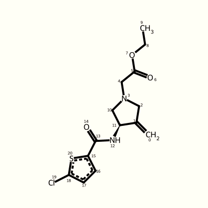 C=C1CN(CC(=O)OCC)C[C@@H]1NC(=O)c1ccc(Cl)s1